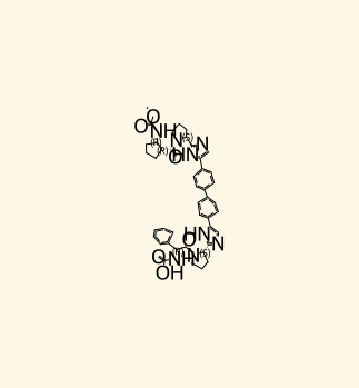 COC(=O)N[C@@H]1CCC[C@H]1C(=O)N1CCC[C@H]1c1ncc(-c2ccc(-c3ccc(-c4cnc([C@@H]5CCCN5C(=O)[C@H](NC(=O)O)c5ccccc5)[nH]4)cc3)cc2)[nH]1